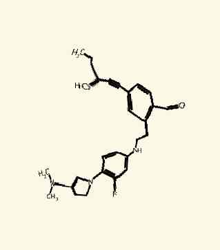 CCC(O)C#Cc1ccc(C=O)c(CCNc2ccc(N3CC[C@@H](N(C)C)C3)c(F)c2)c1